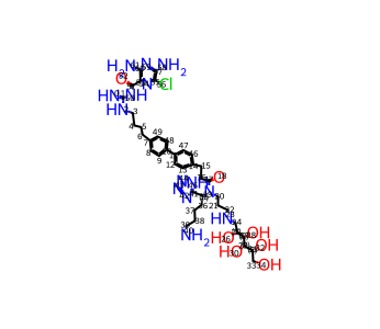 N=C(NCCCCc1ccc(-c2ccc(CCC(=O)N(CCCNC[C@H](O)[C@@H](O)[C@H](O)[C@H](O)CO)[C@@H](CCCCN)c3nnn[nH]3)cc2)cc1)NC(=O)c1nc(Cl)c(N)nc1N